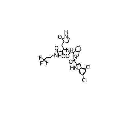 O=C(NCCCC(F)(F)F)C(=O)C(CC1CCNC1=O)NC(=O)C1C2CCCC2CN1C(=O)c1cc2c(Cl)cc(Cl)cc2[nH]1